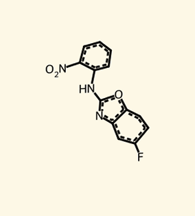 O=[N+]([O-])c1ccccc1Nc1nc2cc(F)ccc2o1